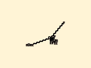 CCCCCCCCCCCCCCCCCCCCOS(=O)(=O)CC(F)CCCCCCCCCF.CC[N+](CC)(CC)CC